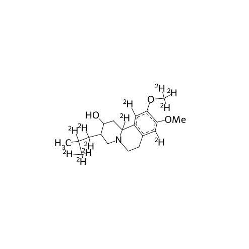 [2H]c1c2c(c([2H])c(OC([2H])([2H])[2H])c1OC)C1([2H])CC(O)C(C([2H])([2H])C([2H])(C)C([2H])([2H])[2H])CN1CC2